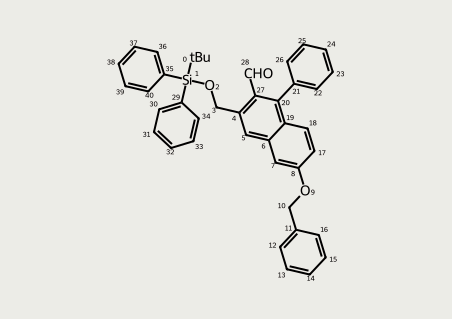 CC(C)(C)[Si](OCc1cc2cc(OCc3ccccc3)ccc2c(-c2ccccc2)c1C=O)(c1ccccc1)c1ccccc1